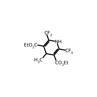 CCOC(=O)C1=C(C(F)(F)F)NC(C(F)(F)F)=C(C(=O)OCC)C1C